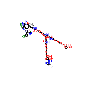 C[C@H]1C(=O)Nc2cnn(C(F)F)c2-c2ccnc(c2)[C@@H](n2cnc(-c3cc(Cl)ccc3-n3cc(Cl)nn3)cc2=O)CCC1CCCCNC(=O)COCCOCCOCC(=O)NC(COCCC(=O)NCCOCCOCCOCCOC[C@H]1OC[C@H](Nc2cncc(C(F)(F)F)n2)[C@@H](O)[C@H]1O)COCCC(=O)NCCOCCOCCOCCOC[C@H]1OCC[C@@H](O)[C@H]1O